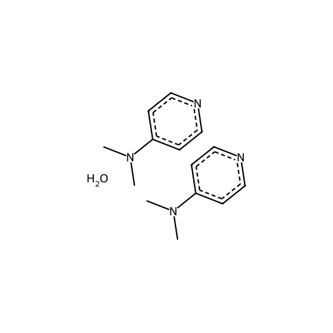 CN(C)c1ccncc1.CN(C)c1ccncc1.O